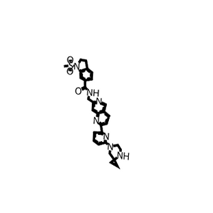 CS(=O)(=O)N1CCc2ccc(C(=O)NCc3cc4nc(-c5cccc(N6CCNC7(CC7)C6)n5)ccc4cn3)cc21